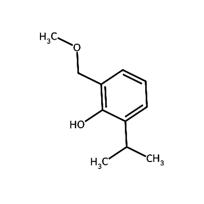 COCc1cccc(C(C)C)c1O